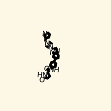 O=C1CCC(C(=O)Nc2ccc(-c3ccc4ncc(N5CCN(Cc6cccnc6)CC5)nc4c3)cc2)N1